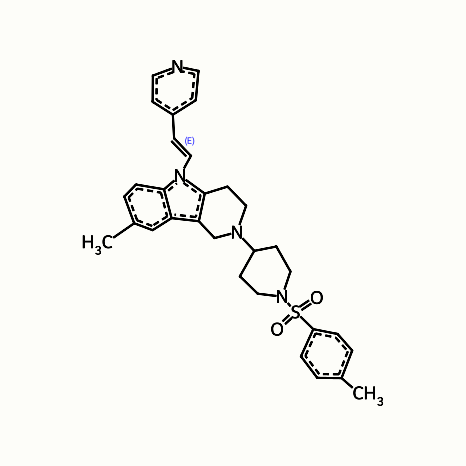 Cc1ccc(S(=O)(=O)N2CCC(N3CCc4c(c5cc(C)ccc5n4/C=C/c4ccncc4)C3)CC2)cc1